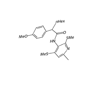 CCCCCCC(C(=O)Nc1c(SC)cc(C)nc1SC)c1ccc(OC)cc1